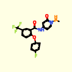 CPn1ccc(NC(=O)c2cc(C(F)(F)F)ccc2Oc2ccc(F)cc2)cc1=O